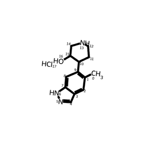 Cc1cc2cn[nH]c2cc1C1CCNCC1O.Cl